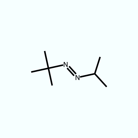 CC(C)N=NC(C)(C)C